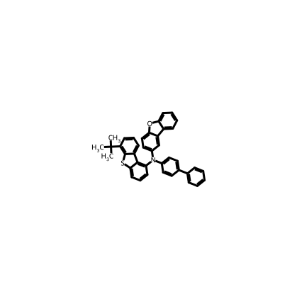 CC(C)(C)c1cccc2c1sc1cccc(N(c3ccc(-c4ccccc4)cc3)c3ccc4oc5ccccc5c4c3)c12